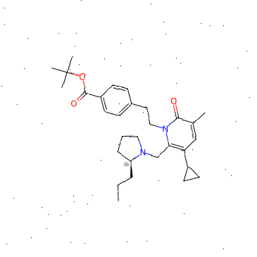 CCC[C@H]1CCCN1Cc1c(C2CC2)cc(C)c(=O)n1CCc1ccc(C(=O)OC(C)(C)C)cc1